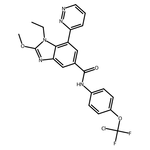 CCn1c(OC)nc2cc(C(=O)Nc3ccc(OC(F)(F)Cl)cc3)cc(-c3cccnn3)c21